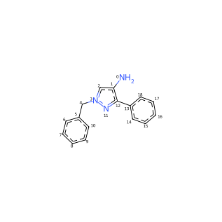 Nc1cn(Cc2ccccc2)nc1-c1ccccc1